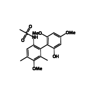 COc1cc(O)c(-c2c(NS(C)(=O)=O)cc(C)c(OC)c2C)c(OC)c1